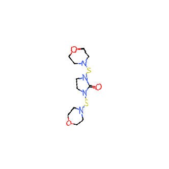 O=C1N(SN2CCOCC2)CCN1SN1CCOCC1